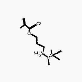 C=C(C)C(=O)OCCC[SiH2]N(C)[Si](C)(C)C